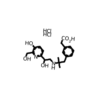 CC(C)(Cc1cccc(CC(=O)O)c1)NCC(O)c1ccc(O)c(CO)n1.Cl.Cl